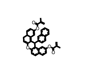 C=C(C)C(=O)OC1=CC2=C3C(=CCC2C=C1)Oc1ccc2ccc(OC(=O)C(=C)C)cc2c1C3c1ccc2ccccc2c1